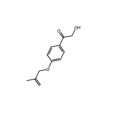 C=C(C)COc1ccc(C(=O)CO)cc1